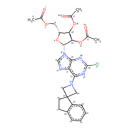 CC(=O)OC[C@H]1O[C@@H](n2cnc3c(N4CC5(CCc6ccccc65)C4)nc(Cl)nc32)C(OC(C)=O)C1OC(C)=O